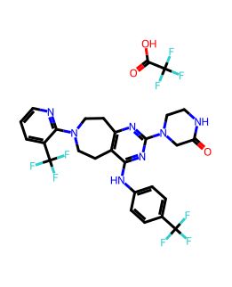 O=C(O)C(F)(F)F.O=C1CN(c2nc3c(c(Nc4ccc(C(F)(F)F)cc4)n2)CCN(c2ncccc2C(F)(F)F)CC3)CCN1